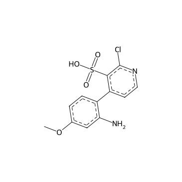 COc1ccc(-c2ccnc(Cl)c2S(=O)(=O)O)c(N)c1